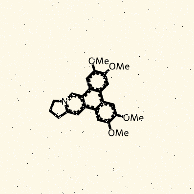 COc1cc2c3cc(OC)c(OC)cc3c3c[n+]4c(cc3c2cc1OC)CCC4